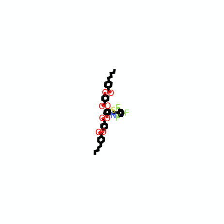 CCCCCC1CCC(C(=O)OC2CCC(C(=O)Oc3ccc(OC(=O)C4CCC(OC(=O)C5CCC(CCCCC)CC5)CC4)c4sc(-c5c(F)cc(F)cc5F)nc34)CC2)CC1